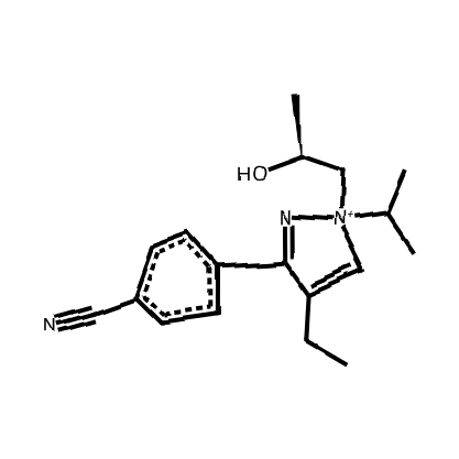 CCC1=C[N+](C[C@H](C)O)(C(C)C)N=C1c1ccc(C#N)cc1